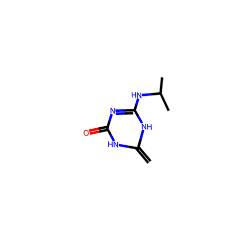 C=C1NC(=O)N=C(NC(C)C)N1